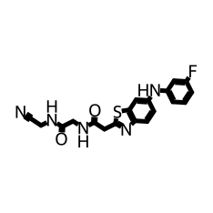 N#CCNC(=O)CNC(=O)Cc1nc2ccc(Nc3cccc(F)c3)cc2s1